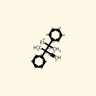 C#CC(C)(c1ccccc1)C(C)(CC)c1ccccc1